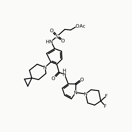 CC(=O)OCCS(=O)(=O)Nc1ccc(C(=O)Nc2cccn(N3CCC(F)(F)CC3)c2=O)c(N2CCC3(CC2)CC3)c1